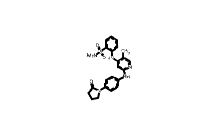 CNS(=O)(=O)c1ccccc1Nc1cc(Nc2ccc(N3CCCC3=O)cc2)ncc1C